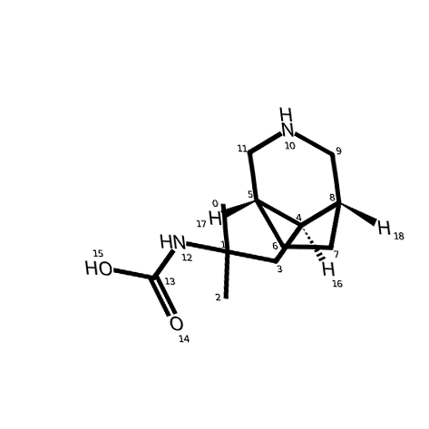 CC(C)(C[C@H]1[C@@H]2CC[C@H]1CNC2)NC(=O)O